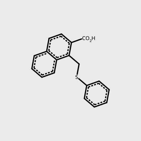 O=C(O)c1ccc2ccccc2c1CSc1ccccc1